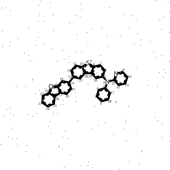 c1ccc(N(c2ccc3sc4ccc(-c5ccc6c(c5)oc5ccccc56)cc4c3c2)c2ccccn2)cc1